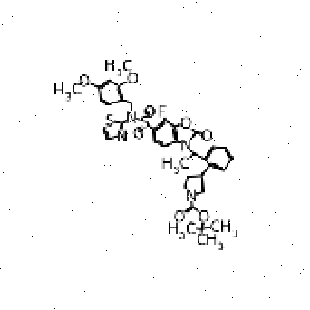 COc1ccc(CN(c2nccs2)S(=O)(=O)c2ccc3c(oc(=O)n3C(C)c3ccccc3C3CCN(C(=O)OC(C)(C)C)C3)c2F)c(OC)c1